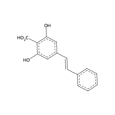 O=C(O)c1c(O)cc(C=Cc2ccccc2)cc1O